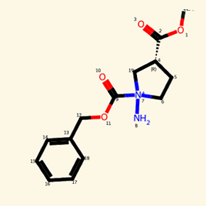 CC(C)(C)OC(=O)[C@@H]1CC[N+](N)(C(=O)OCc2ccccc2)C1